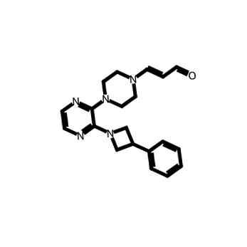 O=CC=CN1CCN(c2nccnc2N2CC(c3ccccc3)C2)CC1